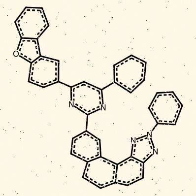 c1ccc(-c2cc(-c3ccc4oc5ccccc5c4c3)nc(-c3ccc4ccc5ccc6nn(-c7ccccc7)nc6c5c4c3)n2)cc1